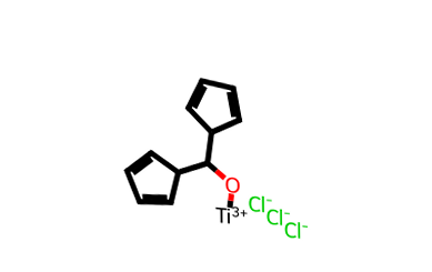 [Cl-].[Cl-].[Cl-].[Ti+3][O]C(C1C=CC=C1)C1C=CC=C1